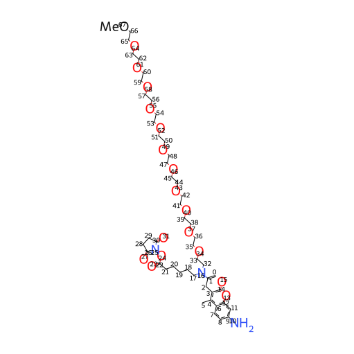 C=C(Cc1c(C)c2ccc(N)cc2oc1=O)N(CCCCCC(=O)ON1C(=O)CCC1=O)CCOCCOCCOCCOCCOCCOCCOCCOCCOCCOCCOCCOC